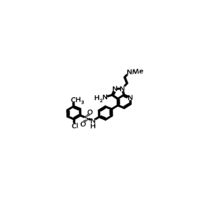 CNCCn1nc(N)c2c(-c3ccc(NS(=O)(=O)c4cc(C)ccc4Cl)cc3)ccnc21